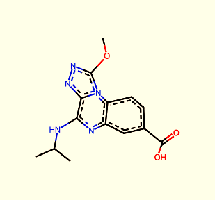 COc1nnc2c(NC(C)C)nc3cc(C(=O)O)ccc3n12